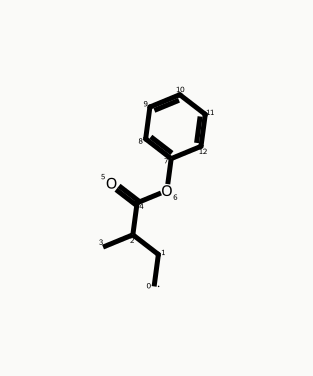 [CH2]CC(C)C(=O)Oc1ccccc1